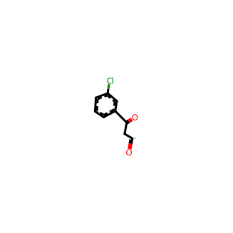 O=[C]CC(=O)c1cccc(Cl)c1